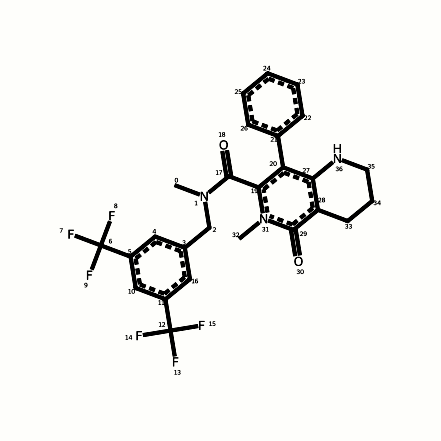 CN(Cc1cc(C(F)(F)F)cc(C(F)(F)F)c1)C(=O)c1c(-c2ccccc2)c2c(c(=O)n1C)CCCN2